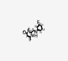 Cc1cc(=O)n(C)c(CNc2cccc(F)c2)n1